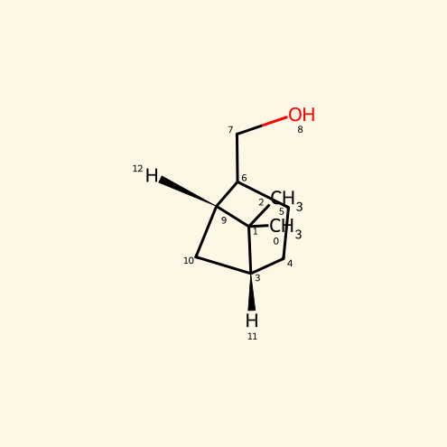 CC1(C)[C@@H]2CCC(CO)[C@H]1C2